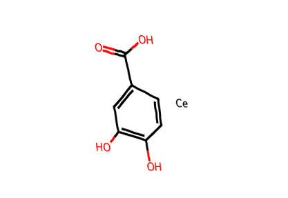 O=C(O)c1ccc(O)c(O)c1.[Ce]